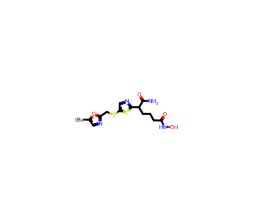 CC(C)(C)c1cnc(CSc2cnc(C(CCCC(=O)NO)C(N)=O)s2)o1